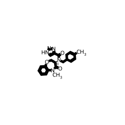 CC1=CCC(CN(C(=O)c2c[nH]nn2)[C@H]2COc3ccccc3N(C)C2=O)C=C1